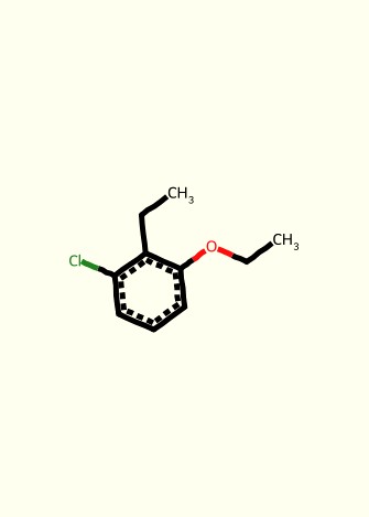 CCOc1cccc(Cl)c1CC